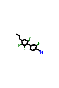 CCCc1cc(F)c(-c2ccc(C#N)c(F)c2)c(F)c1F